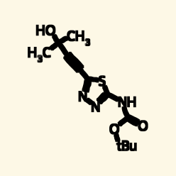 CC(C)(O)C#Cc1nnc(NC(=O)OC(C)(C)C)s1